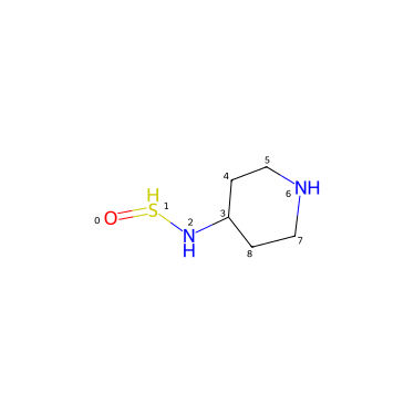 O=[SH]NC1CCNCC1